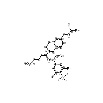 C[Si](C)(C)c1c(F)cc(NC(=O)[C@H]2c3ccc(COC(F)F)cc3CCN2C(=O)CCCC(=O)O)cc1F